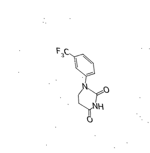 O=C1CCN(c2cccc(C(F)(F)F)c2)C(=O)N1